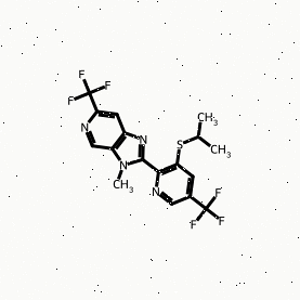 CC(C)Sc1cc(C(F)(F)F)cnc1-c1nc2cc(C(F)(F)F)ncc2n1C